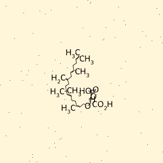 C=C(C/C=C(\C)CCC=C(C)C)CCC(C)(C)/C=C/CC/C(C)=C\CO[C@H](CO[PH](=O)O)C(=O)O